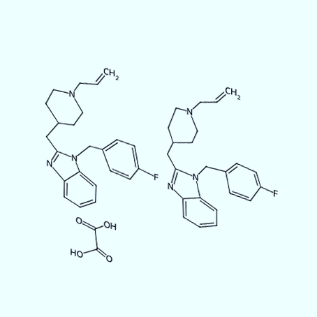 C=CCN1CCC(Cc2nc3ccccc3n2Cc2ccc(F)cc2)CC1.C=CCN1CCC(Cc2nc3ccccc3n2Cc2ccc(F)cc2)CC1.O=C(O)C(=O)O